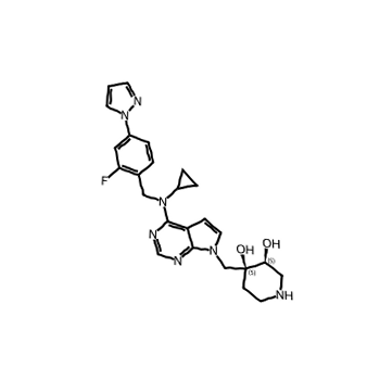 O[C@H]1CNCC[C@]1(O)Cn1ccc2c(N(Cc3ccc(-n4cccn4)cc3F)C3CC3)ncnc21